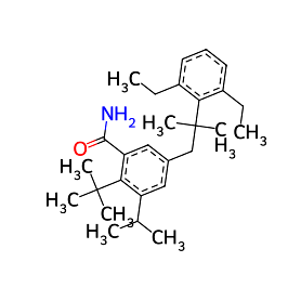 CCc1cccc(CC)c1C(C)(C)Cc1cc(C(N)=O)c(C(C)(C)C)c(C(C)C)c1